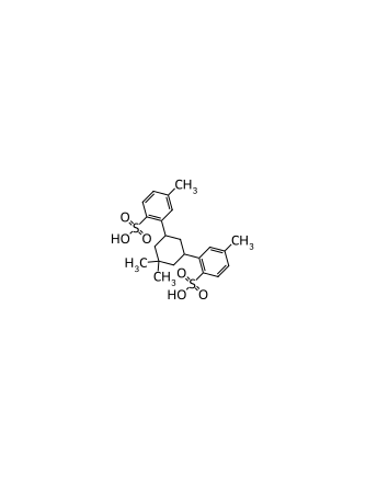 Cc1ccc(S(=O)(=O)O)c(C2CC(c3cc(C)ccc3S(=O)(=O)O)CC(C)(C)C2)c1